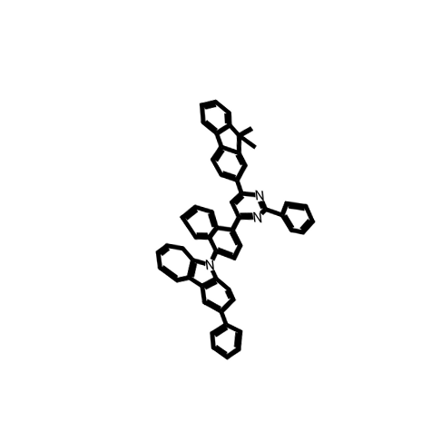 CC1(C)c2ccccc2-c2ccc(-c3cc(-c4ccc(-n5c6c(c7cc(-c8ccccc8)ccc75)C=CC=CC6)c5ccccc45)nc(-c4ccccc4)n3)cc21